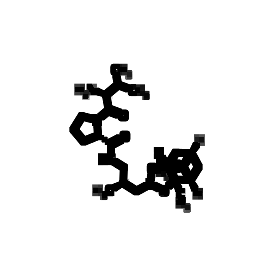 CC(C)[C@H](N)C(=O)N1CCC[C@H]1C(=O)NC[C@H](C)CB1O[C@@H]2C[C@@H]3C[C@@H](C3(C)C)[C@]2(C)O1